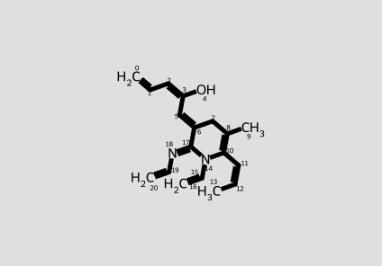 C=C\C=C(O)/C=C1\CC(C)=C(/C=C\C)N(C=C)\C1=N/C=C